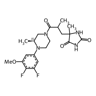 COc1cc(N2CCN(C(=O)C(C)CC3(C)NC(=O)NC3=O)C[C@@H]2C)cc(F)c1F